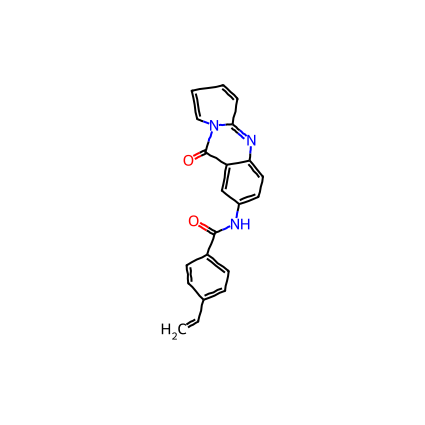 C=Cc1ccc(C(=O)Nc2ccc3nc4ccccn4c(=O)c3c2)cc1